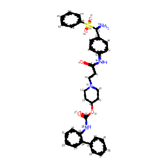 NC(c1ccc(NC(=O)CCN2CCC(OC(=O)Nc3ccccc3-c3ccccc3)CC2)cc1)S(=O)(=O)c1ccccc1